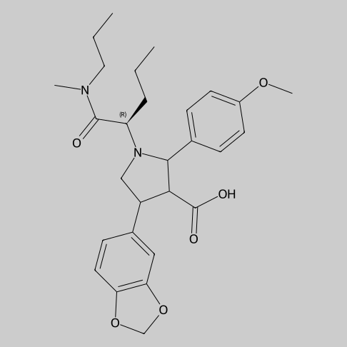 CCC[C@H](C(=O)N(C)CCC)N1CC(c2ccc3c(c2)OCO3)C(C(=O)O)C1c1ccc(OC)cc1